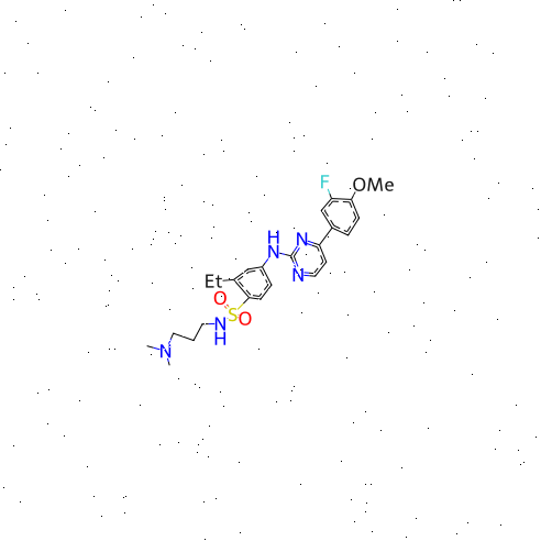 CCc1cc(Nc2nccc(-c3ccc(OC)c(F)c3)n2)ccc1S(=O)(=O)NCCCN(C)C